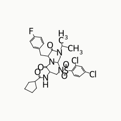 CC(C)N1CC2N(C(=O)C(NC(=O)C3CCCC3)CN2S(=O)(=O)c2ccc(Cl)cc2Cl)C(Cc2ccc(F)cc2)C1=O